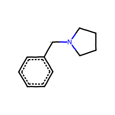 [CH](c1ccccc1)N1CCCC1